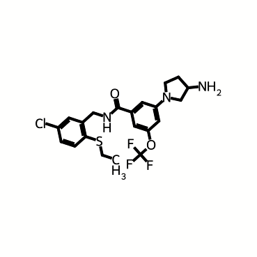 CCSc1ccc(Cl)cc1CNC(=O)c1cc(OC(F)(F)F)cc(N2CCC(N)C2)c1